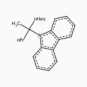 CCCCCCC(C)(CCC)n1c2ccccc2c2ccccc21